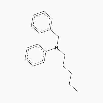 CCCCCN(Cc1ccccc1)c1ccccc1